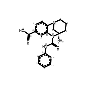 N[C@]12CCCN(C1)c1cnc(C(=O)O)nc1N2C(=O)Nc1ccccn1